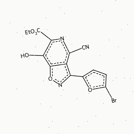 CCOC(=O)c1nc(C#N)c2c(-c3ccc(Br)o3)noc2c1O